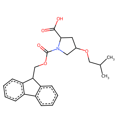 CC(C)COC1CC(C(=O)O)N(C(=O)OCC2c3ccccc3-c3ccccc32)C1